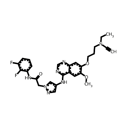 C#CN(CC)CCCOc1cc2ncnc(Nc3cnn(CC(=O)Nc4cccc(F)c4F)c3)c2cc1OC